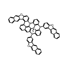 S=P12c3c4cccc3N(c3ccc5oc6cc7ccccc7cc6c5c3)c3cc5cccc6c5c(c31)N(c1cccc(c12)N4c1ccc2oc3cc4ccccc4cc3c2c1)c1ccc2oc3cc4ccccc4cc3c2c1-6